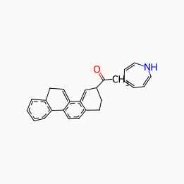 C1=CC=CNC=C1.CC(=O)C1C=c2c(ccc3c2=CCc2ccccc2-3)CC1